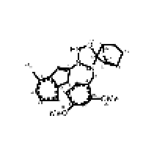 COc1ccc(CN2N(C3=Cc4c(F)cccc4C3)NOC23CC2CCC3CC2)c(OC)c1